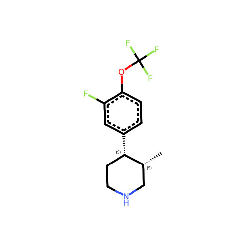 C[C@@H]1CNCC[C@@H]1c1ccc(OC(F)(F)F)c(F)c1